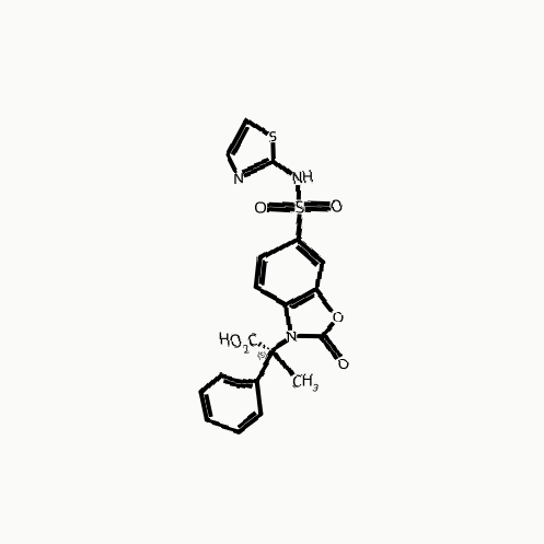 C[C@@](C(=O)O)(c1ccccc1)n1c(=O)oc2cc(S(=O)(=O)Nc3nccs3)ccc21